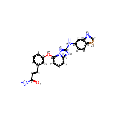 NC(=O)C=Cc1cccc(Oc2cccc3nc(Nc4ccc5scnc5c4)nn23)c1